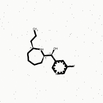 CCC[C@@H]1CCCC[C@H]([C@@H](O)c2cncc(F)c2)N1